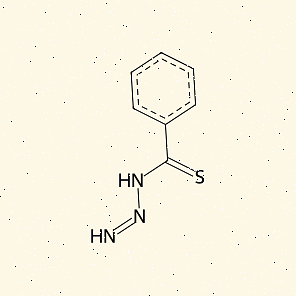 N=NNC(=S)c1ccccc1